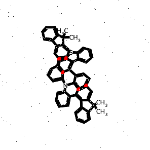 CC1(C)c2ccccc2-c2cc(-c3cccc(N(c4ccccc4-c4cccc5c4-c4ccccc4C5(C)C)c4ccccc4-c4cccc5sc6ccccc6c45)c3)ccc21